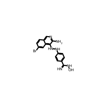 N=C(NO)c1ccc(NNc2c(N)ncc3ccc(Br)cc23)cc1